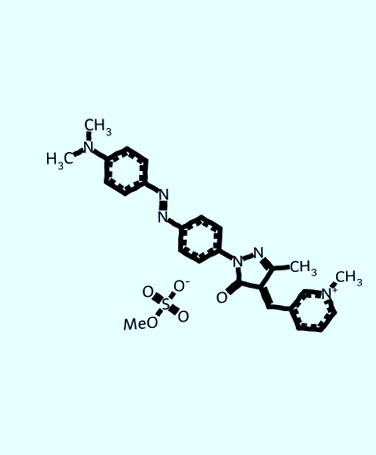 CC1=NN(c2ccc(/N=N/c3ccc(N(C)C)cc3)cc2)C(=O)/C1=C/c1ccc[n+](C)c1.COS(=O)(=O)[O-]